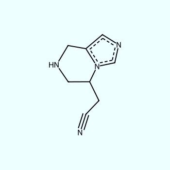 N#CCC1CNCc2cncn21